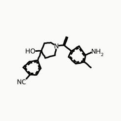 C=C(c1ccc(C)c(N)c1)N1CCC(O)(c2ccc(C#N)cc2)CC1